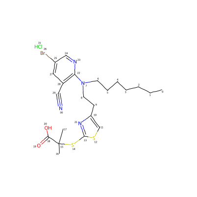 CCCCCCCN(CCc1csc(SC(C)(C)C(=O)O)n1)c1ncc(Br)cc1C#N.Cl